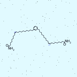 NC(=O)CCCCCCC/C=C\CCCCCCCCCc1cccc(CCCCCCCCC/C=C\CCCCCCCC(N)=O)c1